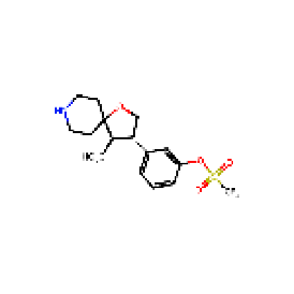 O=C(O)C1[C@@H](c2cccc(OS(=O)(=O)C(F)(F)F)c2)COC12CCNCC2